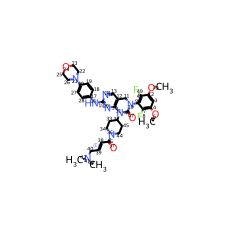 COc1cc(OC)c(F)c(N2Cc3cnc(Nc4ccc(N5CCOCC5)cc4)nc3N(C3CCN(C(=O)/C=C/CN(C)C)CC3)C2=O)c1F